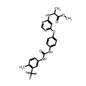 COC(=O)C(C)Nc1cc(Oc2ccc(NC(=O)Nc3ccc(C)c(C(F)(F)F)c3)cc2)ncn1